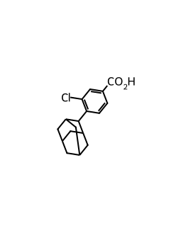 O=C(O)c1ccc(C2C3CC4CC(C3)CC2C4)c(Cl)c1